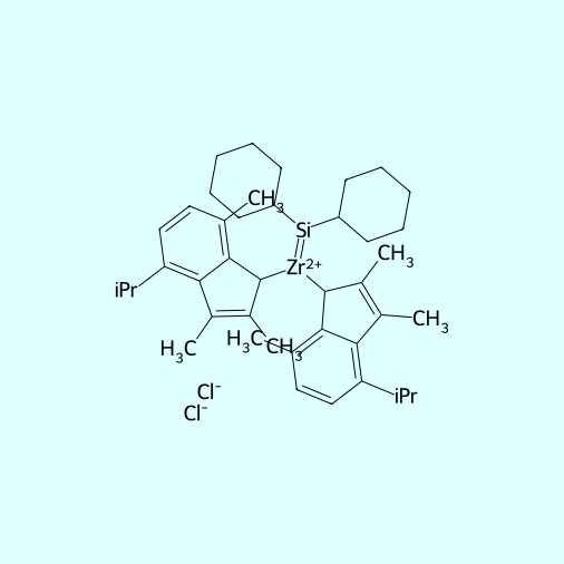 CC1=C(C)[CH]([Zr+2]([CH]2C(C)=C(C)c3c(C(C)C)ccc(C)c32)=[Si](C2CCCCC2)C2CCCCC2)c2c(C)ccc(C(C)C)c21.[Cl-].[Cl-]